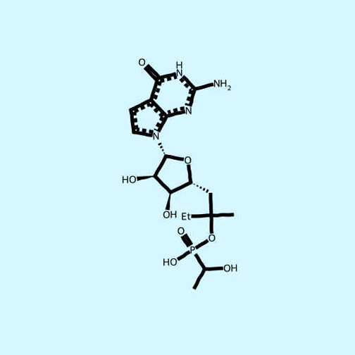 CCC(C)(C[C@H]1O[C@@H](n2ccc3c(=O)[nH]c(N)nc32)[C@H](O)[C@@H]1O)OP(=O)(O)C(C)O